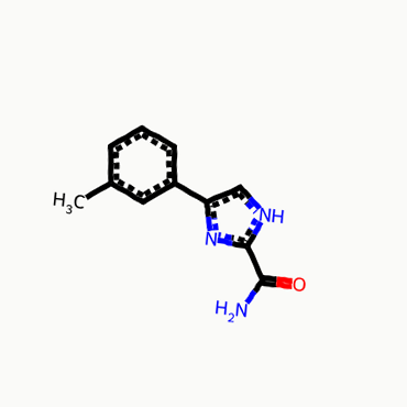 Cc1cccc(-c2c[nH]c(C(N)=O)n2)c1